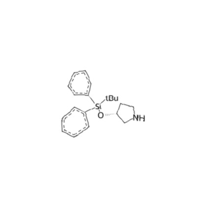 CC(C)(C)[Si](O[C@@H]1CCNC1)(c1ccccc1)c1ccccc1